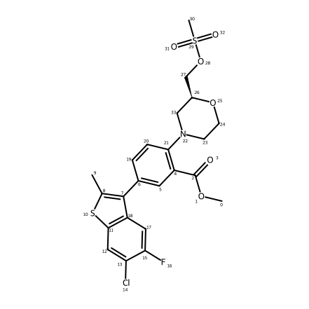 COC(=O)c1cc(-c2c(C)sc3cc(Cl)c(F)cc23)ccc1N1CCO[C@H](COS(C)(=O)=O)C1